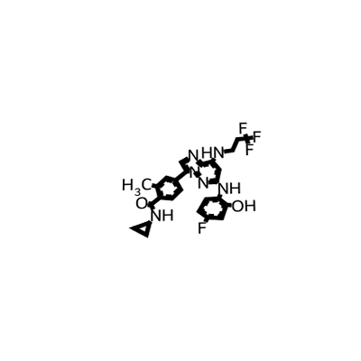 Cc1cc(-c2cnc3c(NCCC(F)(F)F)cc(Nc4ccc(F)cc4O)nn23)ccc1C(=O)NC1CC1